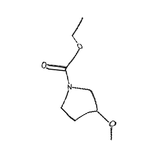 CCOC(=O)N1CCC(OC)C1